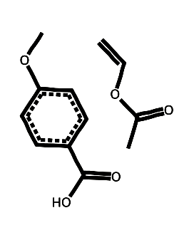 C=COC(C)=O.COc1ccc(C(=O)O)cc1